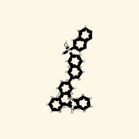 CP(=O)(c1ccc2ccccc2c1)c1ccc2ccc(-c3ccc4c5ccccc5c5nc6ccccc6n5c4c3)cc2c1